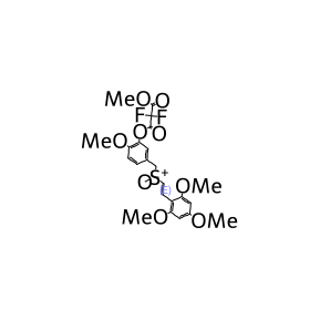 COC(=O)C(F)(F)C(=O)Oc1cc(C[S+]([O-])/C=C/c2c(OC)cc(OC)cc2OC)ccc1OC